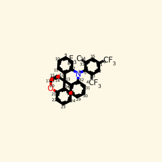 FC(F)(F)c1cc(C(F)(F)F)c(N2c3ccccc3C3(c4ccccc4Oc4ccccc43)c3ccccc32)c(C(F)(F)F)c1